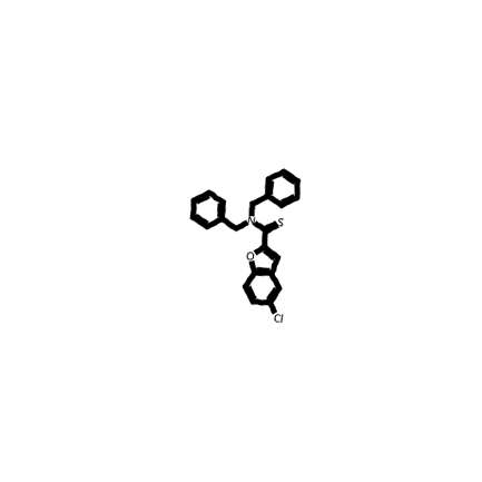 S=C(c1cc2cc(Cl)ccc2o1)N(Cc1ccccc1)Cc1ccccc1